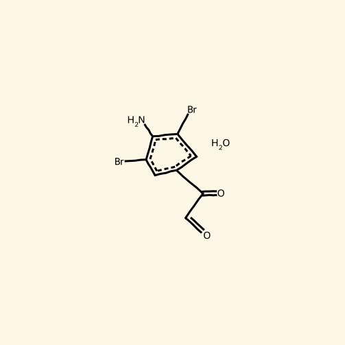 Nc1c(Br)cc(C(=O)C=O)cc1Br.O